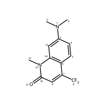 CN(C)c1ccc2c(C(F)(F)F)cc(=O)n(C)c2c1